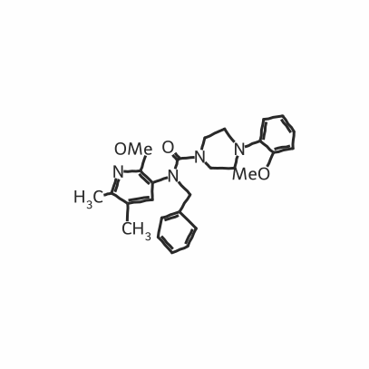 COc1ccccc1N1CCN(C(=O)N(Cc2ccccc2)c2cc(C)c(C)nc2OC)CC1